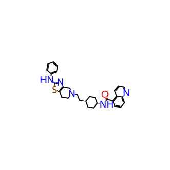 O=C(N[C@H]1CC[C@H](CCN2CCc3sc(Nc4ccccc4)nc3C2)CC1)c1cccc2ncccc12